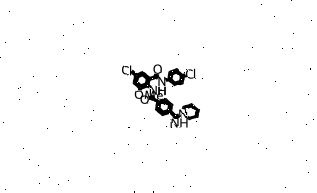 COc1cc(Cl)cc(C(=O)Nc2ccc(Cl)cc2)c1NC(=O)c1ccc(C(=N)N2CCCCC2)cc1